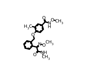 CNC(=O)C(=NOC)c1ccccc1COc1ccc(C(=O)NOC)cc1C